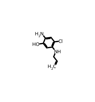 C=CCNc1cc(O)c(N)cc1Cl